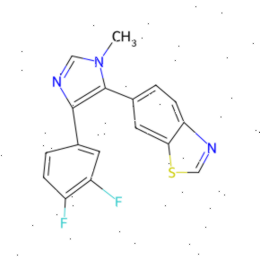 Cn1cnc(-c2ccc(F)c(F)c2)c1-c1ccc2ncsc2c1